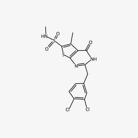 CNS(=O)(=O)c1sc2nc(Cc3ccc(Cl)c(Cl)c3)[nH]c(=O)c2c1C